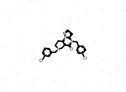 O=c1c2c(n3nccc3n1Cc1ccc(Cl)cc1)CCN(Cc1cccc(Cl)c1)C2